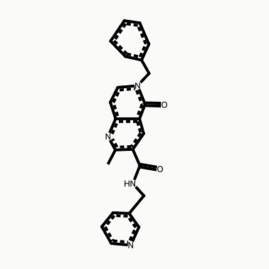 Cc1nc2ccn(Cc3ccccc3)c(=O)c2cc1C(=O)NCc1cccnc1